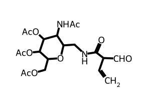 C=CC(C=O)C(=O)NCC1OC(COC(C)=O)C(OC(C)=O)C(OC(C)=O)C1NC(C)=O